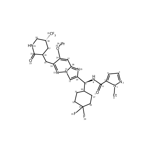 CCn1nccc1C(=O)N[C@H](c1cn2nc(CC3C[C@@H](C(F)(F)F)CNC3=O)c(OC(C)C)cc2n1)C1CCC(F)(F)CC1